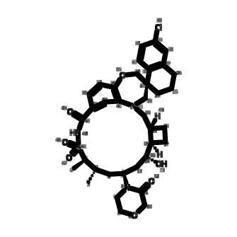 C[C@@H]1[C@@H](C)C[C@H](N2CCOCC2=O)C[C@@H](O)[C@@H]2CC[C@H]2CN2C[C@@]3(CCCc4cc(Cl)ccc43)COc3ccc(cc32)C(=O)NS1(=O)=O